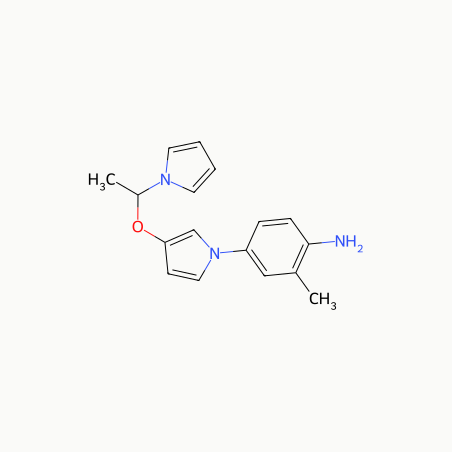 Cc1cc(-n2ccc(OC(C)n3cccc3)c2)ccc1N